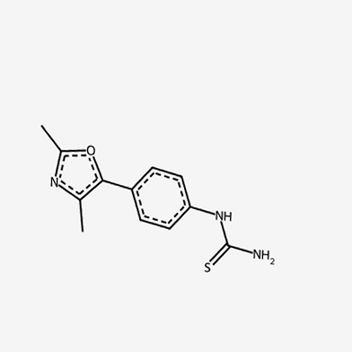 Cc1nc(C)c(-c2ccc(NC(N)=S)cc2)o1